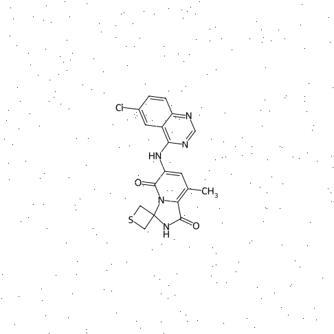 Cc1cc(Nc2ncnc3ccc(Cl)cc23)c(=O)n2c1C(=O)NC21CSC1